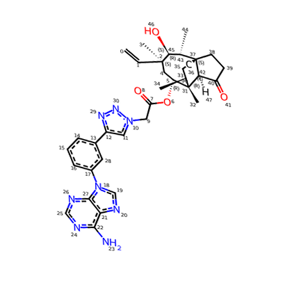 C=C[C@]1(C)C[C@@H](OC(=O)Cn2cc(-c3cccc(-n4cnc5c(N)ncnc54)c3)nn2)[C@]2(C)[C@H](C)CC[C@]3(CCC(=O)[C@H]32)[C@@H](C)[C@@H]1O